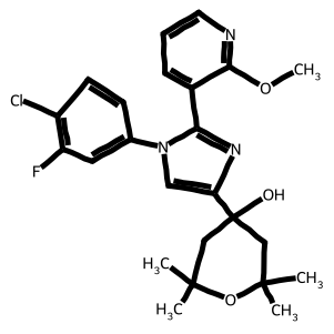 COc1ncccc1-c1nc(C2(O)CC(C)(C)OC(C)(C)C2)cn1-c1ccc(Cl)c(F)c1